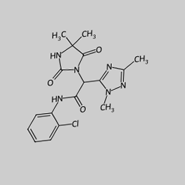 Cc1nc(C(C(=O)Nc2ccccc2Cl)N2C(=O)NC(C)(C)C2=O)n(C)n1